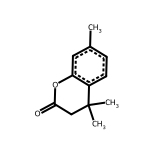 Cc1ccc2c(c1)OC(=O)CC2(C)C